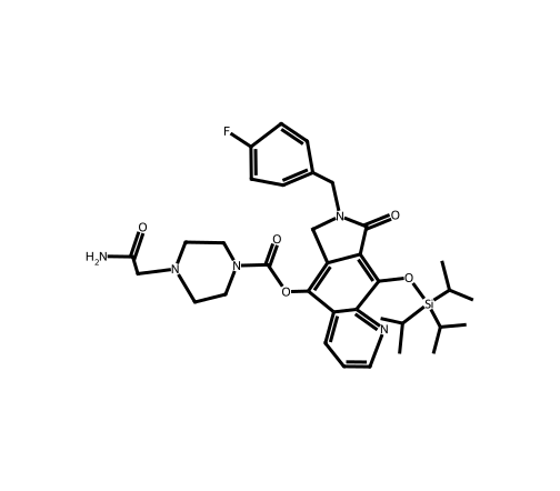 CC(C)[Si](Oc1c2c(c(OC(=O)N3CCN(CC(N)=O)CC3)c3cccnc13)CN(Cc1ccc(F)cc1)C2=O)(C(C)C)C(C)C